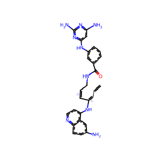 C=C/C=C(\C=C/CNC(=O)c1cccc(Nc2cc(N)nc(N)n2)c1)Nc1ccnc2ccc(N)cc12